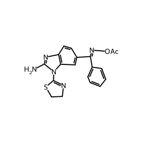 CC(=O)ON=C(c1ccccc1)c1ccc2nc(N)n(C3=NCCS3)c2c1